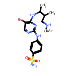 CONCC(C)C(C)Nc1nc(Nc2ccc(S(N)(=O)=O)cc2)ncc1Br